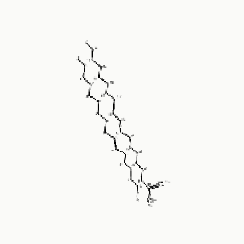 CCCCCCCCCCCCCCCCC.CCCCCCCCCCCCCCCCCC(=O)O